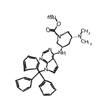 CN(C)[C@@H]1C[C@@H](Nc2ncnc3c2ccn3C(c2ccccc2)(c2ccccc2)c2ccccc2)CN(C(=O)OC(C)(C)C)C1